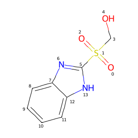 O=S(=O)(CO)c1nc2ccccc2[nH]1